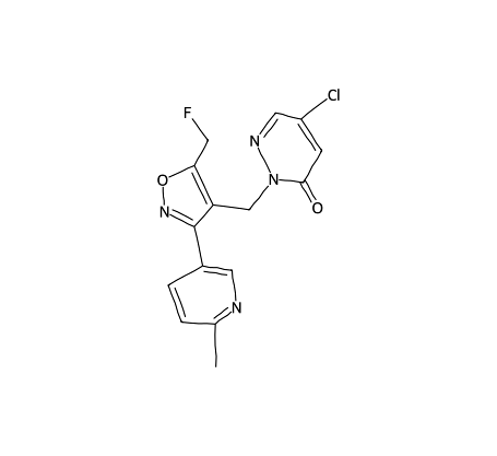 Cc1ccc(-c2noc(CF)c2Cn2ncc(Cl)cc2=O)cn1